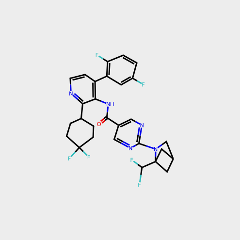 O=C(Nc1c(-c2cc(F)ccc2F)ccnc1C1CCC(F)(F)CC1)c1cnc(N2CC3CC2(C(F)F)C3)nc1